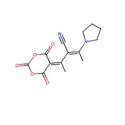 CC(=C1C(=O)OC(=O)OC1=O)/C(C#N)=C(\C)N1CCCC1